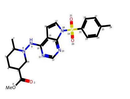 COC(=O)C1CCC(C)N(Nc2ncnc3c2ccn3S(=O)(=O)c2ccc(C)cc2)C1